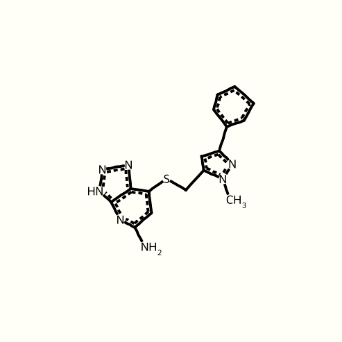 Cn1nc(-c2ccccc2)cc1CSc1cc(N)nc2[nH]nnc12